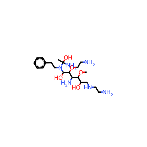 COC(C(O)CNCCN)C(N)C(OCCN)C(O)N(CCc1ccccc1)C(C)(N)O